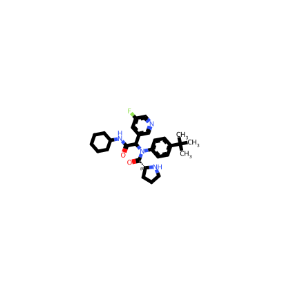 CC(C)(C)c1ccc(N(C(=O)[C@H]2CCCN2)C(C(=O)NC2CCCCC2)c2cncc(F)c2)cc1